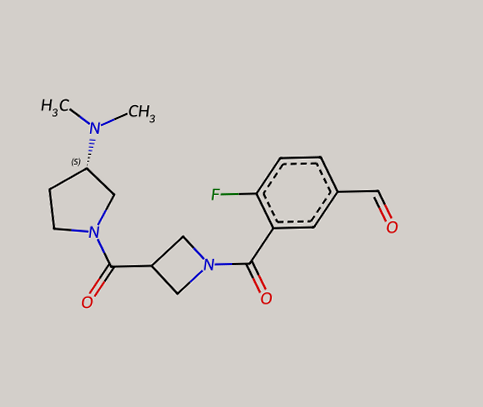 CN(C)[C@H]1CCN(C(=O)C2CN(C(=O)c3cc(C=O)ccc3F)C2)C1